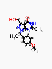 Cc1nc2c(c(CO)nn2[C@@H](C)c2ccc(OC(F)(F)F)cc2)c(=O)[nH]1